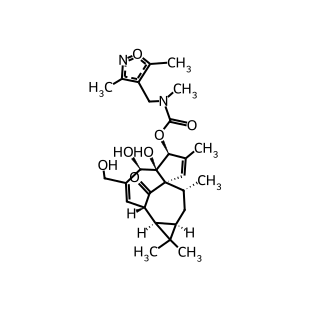 CC1=C[C@]23C(=O)[C@@H](C=C(CO)[C@@H](O)[C@]2(O)[C@H]1OC(=O)N(C)Cc1c(C)noc1C)[C@H]1[C@@H](C[C@H]3C)C1(C)C